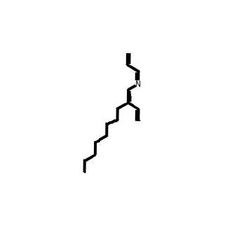 C=C/C=N\C=C(/C=C)CCCCCCCC